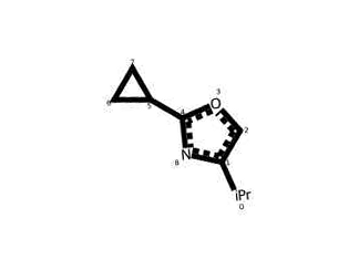 CC(C)c1coc(C2CC2)n1